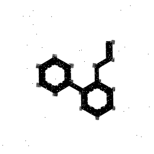 C=C[CH]c1ccccc1-c1ccccc1